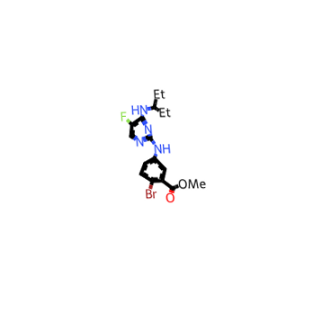 CCC(CC)Nc1nc(Nc2ccc(Br)c(C(=O)OC)c2)ncc1F